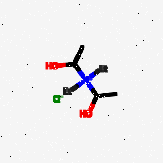 CC[N+](CC)(C(C)O)C(C)O.[Cl-]